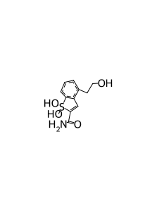 NC(=O)C1=Cc2c(CCO)cccc2S1(O)O